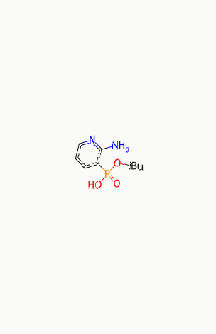 CCC(C)OP(=O)(O)c1cccnc1N